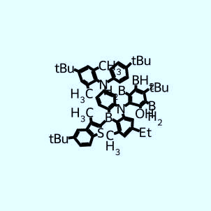 Bc1c(B)c(C(C)(C)C)c(B)c(O)c1N1c2cc(N(c3ccc(C(C)(C)C)cc3)c3c(C)cc(C(C)(C)C)cc3C)ccc2B(c2sc3ccc(C(C)(C)C)cc3c2C)c2c(C)cc(CC)cc21